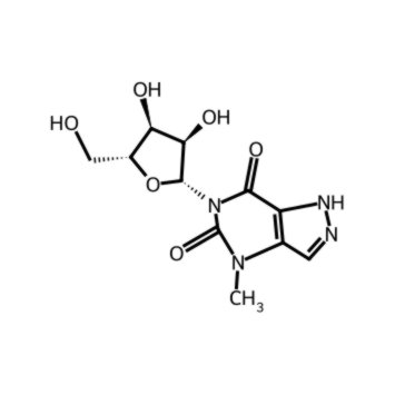 Cn1c(=O)n([C@@H]2O[C@H](CO)[C@@H](O)[C@H]2O)c(=O)c2[nH]ncc21